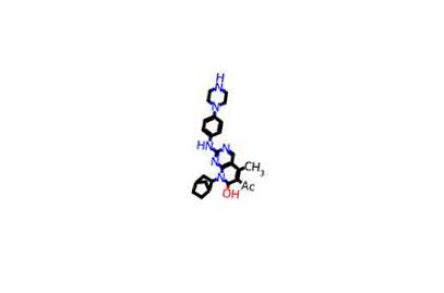 CC(=O)C1=C(C)c2cnc(Nc3ccc(N4CCNCC4)cc3)nc2N(C2CC3CCC2C3)C1O